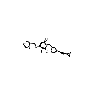 Cc1cc(OCC2COCCO2)cc(=O)n1Cc1cc(C#CC2CC2)cs1